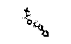 CC(C)(C)OC(=O)N[C@H]1CC[C@@H](C(=O)Nc2ncc(-c3ccccc3)s2)C1